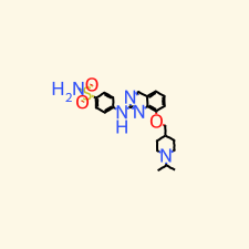 CC(C)N1CCC(COc2cccc3cnc(Nc4ccc(S(N)(=O)=O)cc4)nc23)CC1